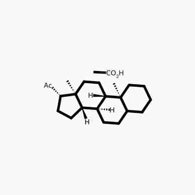 CC(=O)O.CC(=O)[C@H]1CC[C@H]2[C@@H]3CCC4CCCC[C@]4(C)[C@H]3CC[C@]12C